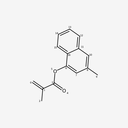 C=C(C)C(=O)Oc1cc(C)cc2ccccc12